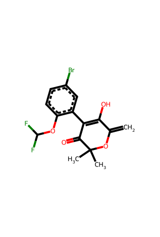 C=C1OC(C)(C)C(=O)C(c2cc(Br)ccc2OC(F)F)=C1O